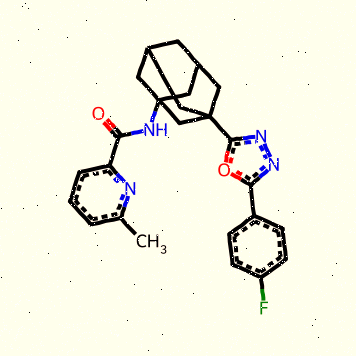 Cc1cccc(C(=O)NC23CC4CC(C2)CC(c2nnc(-c5ccc(F)cc5)o2)(C4)C3)n1